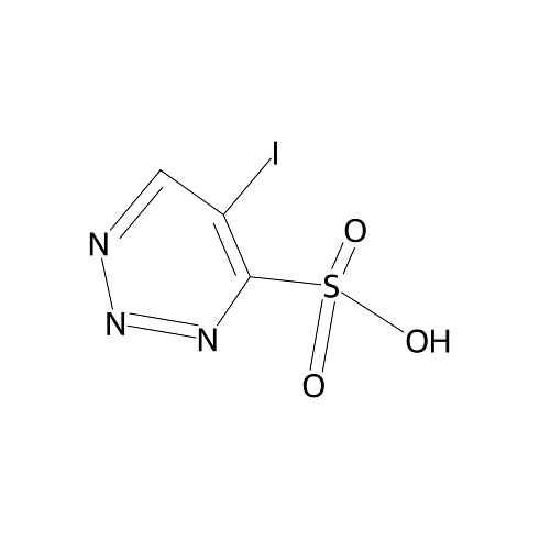 O=S(=O)(O)c1nnncc1I